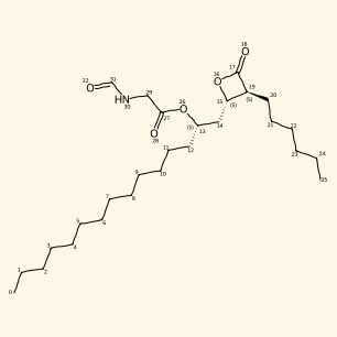 CCCCCCCCCCCCC[C@@H](C[C@@H]1OC(=O)[C@H]1CCCCCC)OC(=O)CNC=O